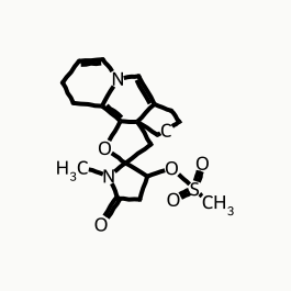 CN1C(=O)CC(OS(C)(=O)=O)C12CC13CCCCC1=CN1C=CCCC1=C3O2